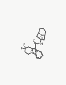 CN1C2CCCC1CC(NC(=O)c1c3n(c4ccccc14)CCC(F)(F)C3)C2